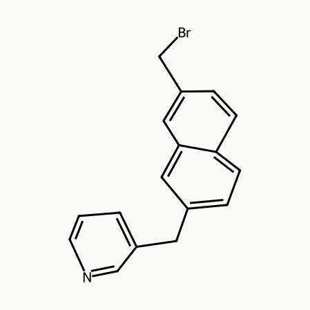 BrCc1ccc2ccc(Cc3cccnc3)cc2c1